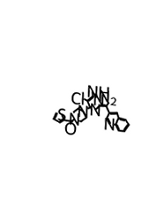 Nc1c(Cl)c(N2CCN(C(=O)c3cccs3)CC2)nc2c(-c3cnc4ccccc4c3)cnn12